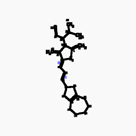 C=C1S/C(=C\C=C\C2CC3=C(CCCCC3)C2)C(=C)N1C(C=O)C(C)C